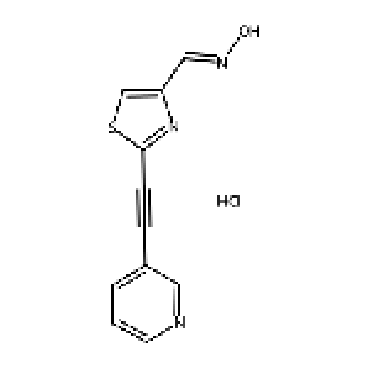 Cl.ON=Cc1csc(C#Cc2cccnc2)n1